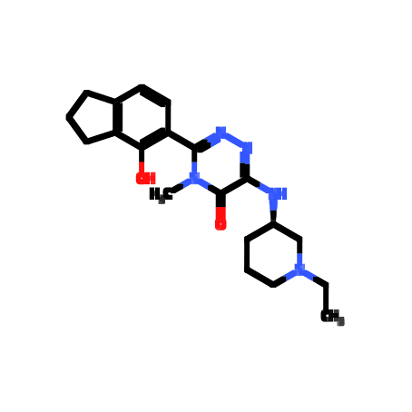 CCN1CCC[C@@H](Nc2nnc(-c3ccc4c(c3O)CCC4)n(C)c2=O)C1